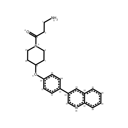 NCCC(=O)N1CCC(Oc2ccc(-c3cnc4ccccc4c3)cc2)CC1